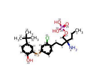 CCCC(N)(CCc1ccc(Sc2cc(C(C)(C)C)ccc2O)cc1Cl)COP(=O)(O)O